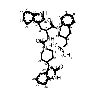 CN(C)CC1Cc2ccccc2N(C(=O)C(Cc2c[nH]c3ccccc23)NC(=O)N2CCC(n3c(=O)[nH]c4ccccc43)CC2)C1